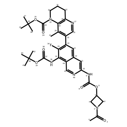 CC(=O)N1CC(OC(=O)Nc2cc3cc(-c4cnc5c(c4C)N(C(=O)OC(C)(C)C)CCC5)c(F)c(NC(=O)OC(C)(C)C)c3cn2)C1